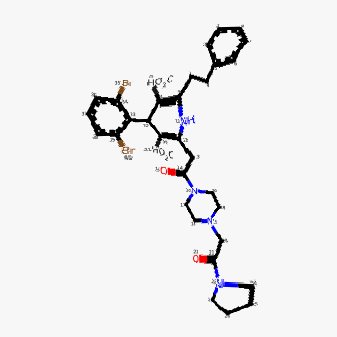 O=C(O)C1=C(CCc2ccccc2)NC(CC(=O)N2CCN(CC(=O)N3CCCC3)CC2)=C(C(=O)O)C1c1c(Br)cccc1Br